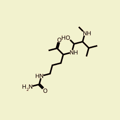 CNC(C(C)C)C(O)NC(CCCNC(N)=O)C(C)=O